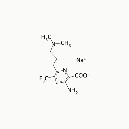 CN(C)CCCc1nc(C(=O)[O-])c(N)cc1C(F)(F)F.[Na+]